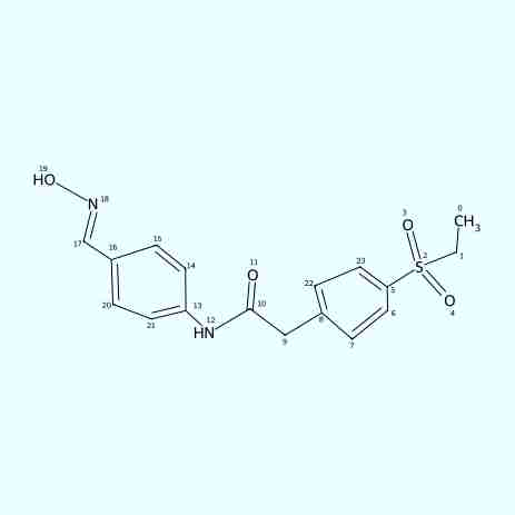 CCS(=O)(=O)c1ccc(CC(=O)Nc2ccc(C=NO)cc2)cc1